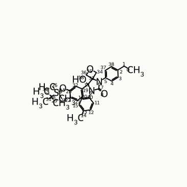 CCc1ccc(N2C(=O)N(c3ccc(C)cc3)C(O)(c3cccc(O[Si](C)(C)C(C)(C)C)c3)C23COC3)cc1